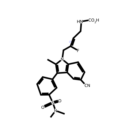 Cc1c(-c2cccc(S(=O)(=O)N(C)C)c2)c2cc(C#N)ccc2n1C/C(F)=C/CNC(=O)O